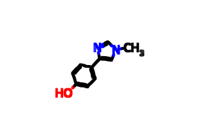 Cn1cnc(-c2ccc(O)cc2)c1